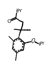 Cc1cc(C)c(C(C)(C)CC(=O)C(C)C)c(OC(C)C)c1